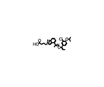 CC=C(O/N=C(\C)c1cccc2nn(CCCC(=O)O)cc12)c1ccc(OC(C)C)c(Cl)c1